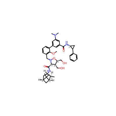 COc1c(CN2O[C@@H](CO)[C@@H](CO)[C@H]2C(=O)N[C@H]2C[C@H]3C[C@@H]([C@@H]2C)C3(C)C)cccc1-c1cc(C(=O)N[C@H]2CC2c2ccccc2)cc(N(C)C)c1